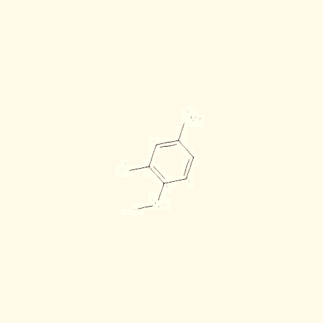 COc1ccc(NF)c(Br)c1